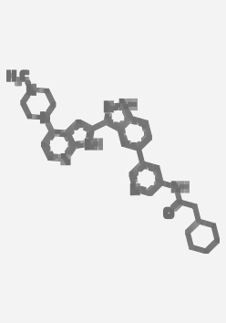 CN1CCN(c2ccnc3[nH]c(-c4n[nH]c5ccc(-c6cncc(NC(=O)CC7CCCCC7)c6)cc45)cc23)CC1